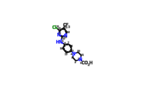 O=C(O)N1CCN(c2ccc(Nc3ncc(C(F)(F)F)c(Cl)n3)cc2)CC1